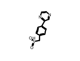 O=[SH](=O)Cc1ccc(-c2cnccn2)cc1